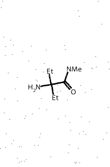 CCC(N)(CC)C(=O)NC